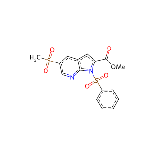 COC(=O)c1cc2cc(S(C)(=O)=O)cnc2n1S(=O)(=O)c1ccccc1